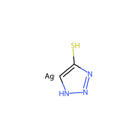 Sc1c[nH]nn1.[Ag]